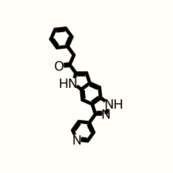 O=C(Cc1ccccc1)c1cc2cc3[nH]nc(-c4ccncc4)c3cc2[nH]1